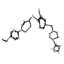 CCc1cnc(N2CCC(Oc3ccc(CN4CCN(c5nn[nH]n5)CC4)cc3Cl)CC2)nc1